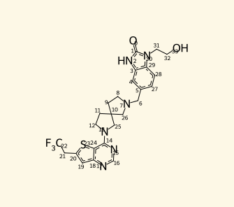 O=c1[nH]c2cc(CN3CCC4(CCN(c5ncnc6cc(CC(F)(F)F)sc56)C4)C3)ccc2n1CCO